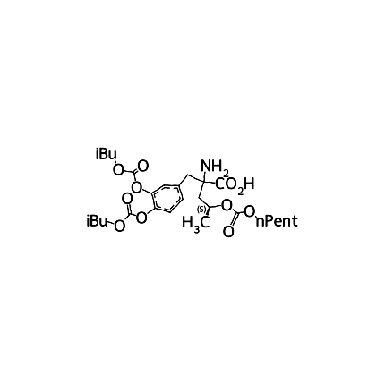 CCCCCOC(=O)O[C@@H](C)CC(N)(Cc1ccc(OC(=O)OC(C)CC)c(OC(=O)OC(C)CC)c1)C(=O)O